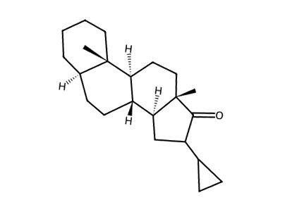 C[C@]12CCCC[C@@H]1CC[C@@H]1[C@@H]2CC[C@]2(C)C(=O)C(C3CC3)C[C@@H]12